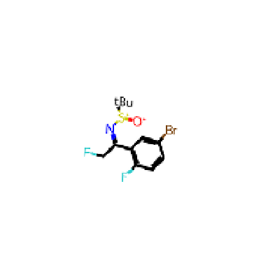 CC(C)(C)[S@@+]([O-])/N=C(/CF)c1cc(Br)ccc1F